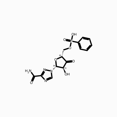 NC(=O)c1ncn([C@@H]2O[C@H](COP(=O)(O)c3ccccc3)C(=O)[C@H]2O)n1